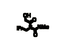 CNC(=O)N(CC(C)C)C(=O)CO